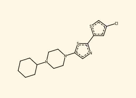 Clc1csc(-c2ncc(N3CCN(C4CCCCC4)CC3)s2)c1